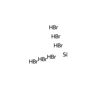 Br.Br.Br.Br.Br.Br.[Si]